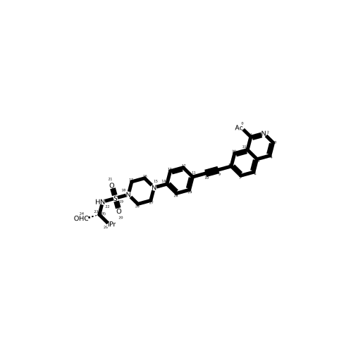 CC(=O)c1nccc2ccc(C#Cc3ccc(N4CCN(S(=O)(=O)N[C@@H](C=O)C(C)C)CC4)cc3)cc12